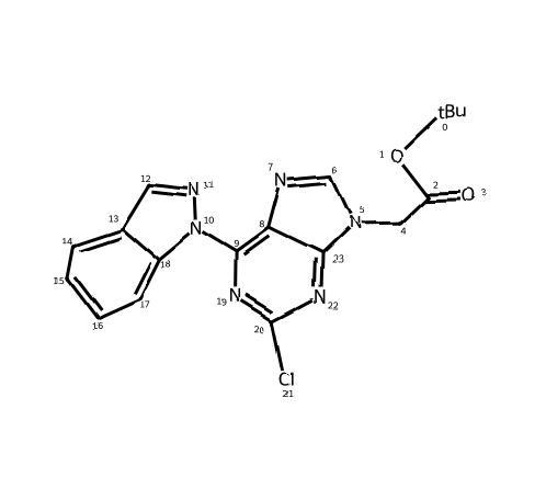 CC(C)(C)OC(=O)Cn1cnc2c(-n3ncc4ccccc43)nc(Cl)nc21